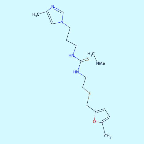 CNC.Cc1cn(CCCNC(=S)NCCSCc2ccc(C)o2)cn1